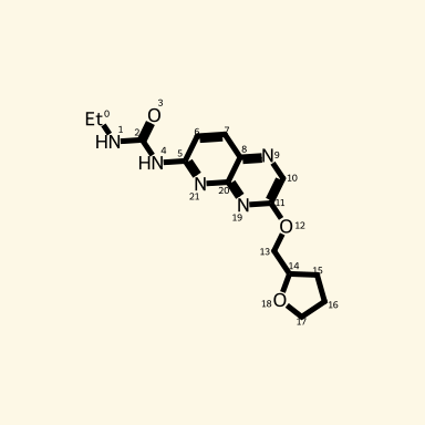 CCNC(=O)Nc1ccc2ncc(OCC3CCCO3)nc2n1